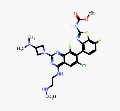 CN(C)C1CN(c2nc(NCCNC(=O)O)c3cc(Cl)c(-c4ccc(F)c5sc(NC(=O)OC(C)(C)C)nc45)c(F)c3n2)C1